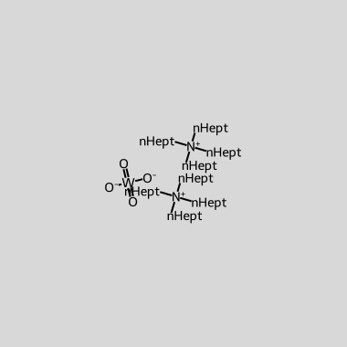 CCCCCCC[N+](CCCCCCC)(CCCCCCC)CCCCCCC.CCCCCCC[N+](CCCCCCC)(CCCCCCC)CCCCCCC.[O]=[W](=[O])([O-])[O-]